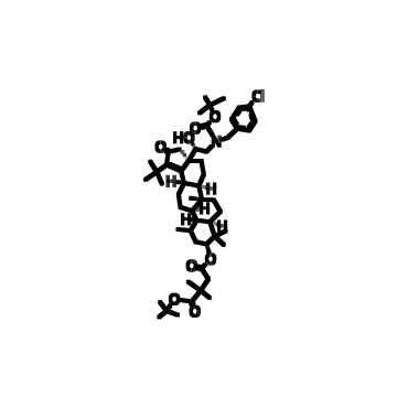 CC1C[C@H](OC(=O)CC(C)(C)C(=O)OC(C)(C)C)C(C)(C)[C@@H]2CC[C@]3(C)[C@H](CC[C@@H]4C5=C(C(C)(C)C)C(=O)C[C@]5([C@H](O)CN(Cc5ccc(Cl)cc5)C(=O)OC(C)(C)C)CC[C@H]43)[C@@H]12